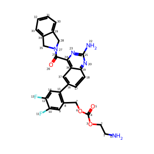 NCCOC(=O)OCc1cc(F)c(F)cc1-c1ccc2nc(N)nc(C(=O)N3Cc4ccccc4C3)c2c1